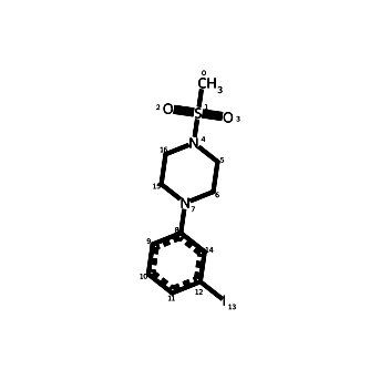 CS(=O)(=O)N1CCN(c2cccc(I)c2)CC1